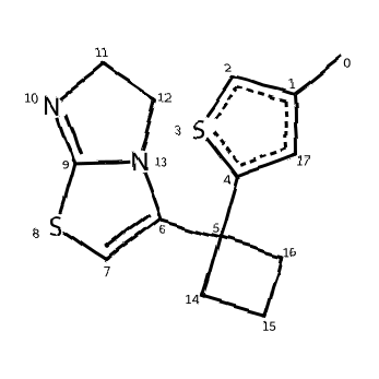 Cc1csc(C2(C3=CSC4=NCCN34)CCC2)c1